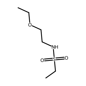 CCOCCNS(=O)(=O)CC